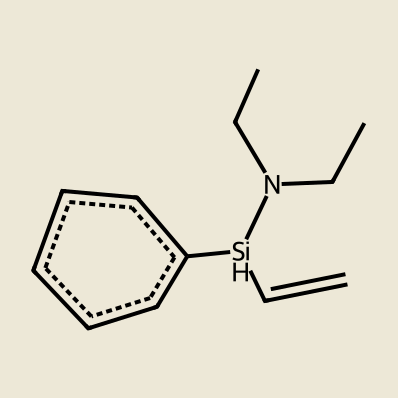 C=C[SiH](c1ccccc1)N(CC)CC